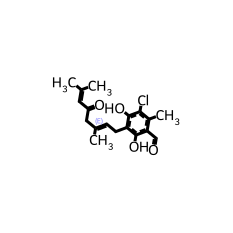 CC(C)=CC(=O)C/C(C)=C/Cc1c(O)c(Cl)c(C)c(C=O)c1O